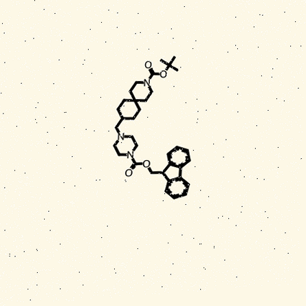 CC(C)(C)OC(=O)N1CCC2(CCC(CN3CCN(C(=O)OCC4c5ccccc5-c5ccccc54)CC3)CC2)CC1